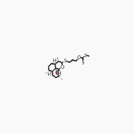 CSC(=S)OCCCS[C@@H]1O[C@@H]2O[C@]3(C)CC[C@H]4[C@H](C)CC[C@@H]([C@H]1C)[C@@]24OO3